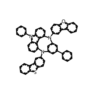 c1ccc(-c2cc3cc(c2)N(c2ccc4sc5ccccc5c4c2)c2cccc4c2c2c(cccc2n4-c2ccccc2)N3c2ccc3oc4ccccc4c3c2)cc1